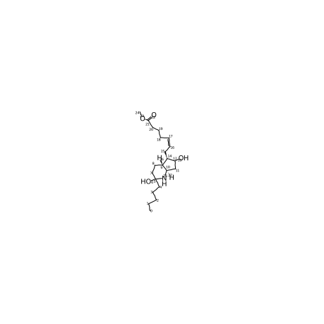 CCCCCC1(O)CC[C@H]2[C@@H](CC(O)[C@@H]2C/C=C\CCCC(=O)OC)N1